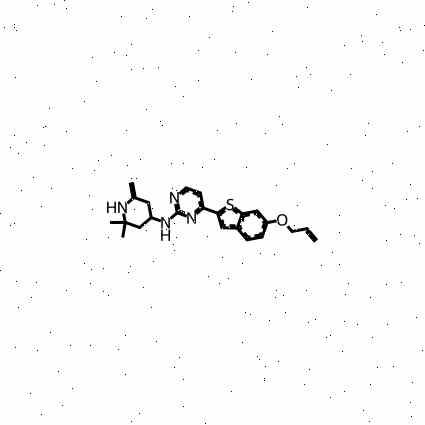 C=CCOc1ccc2cc(-c3ccnc(NC4CC(=C)NC(C)(C)C4)n3)sc2c1